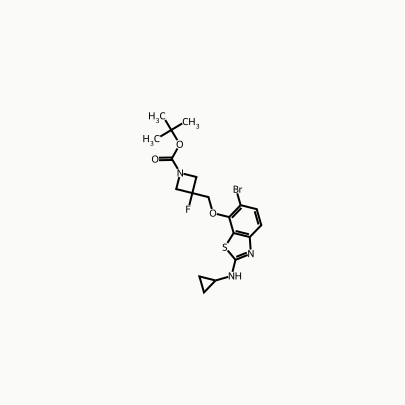 CC(C)(C)OC(=O)N1CC(F)(COc2c(Br)ccc3nc(NC4CC4)sc23)C1